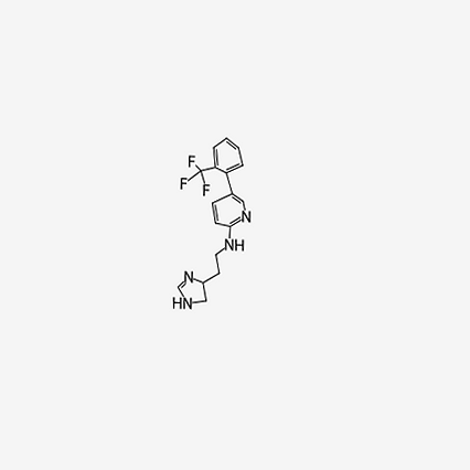 FC(F)(F)c1ccccc1-c1ccc(NCCC2CNC=N2)nc1